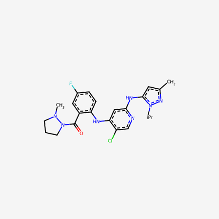 Cc1cc(Nc2cc(Nc3ccc(F)cc3C(=O)N3CCCN3C)c(Cl)cn2)n(C(C)C)n1